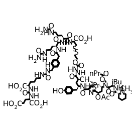 CCCC(=O)OCN(C(=O)[C@@H](NC(=O)[C@H]1CCCCN1C)C(C)CC)[C@H](C[C@@H](OC(C)=O)c1nc(C(=O)N[C@@H](Cc2ccc(O)cc2)C[C@H](C)C(=O)NNC(=O)OCCSSC[C@H](NC(=O)[C@H](CCCNC(N)=O)NC(=O)[C@H](CCCNC(N)=O)NC(=O)Cc2ccc(CNC(=O)NCCCC[C@H](NC(=O)N[C@@H](CCC(=O)O)C(=O)O)C(=O)O)cc2)C(=O)O)cs1)C(C)C